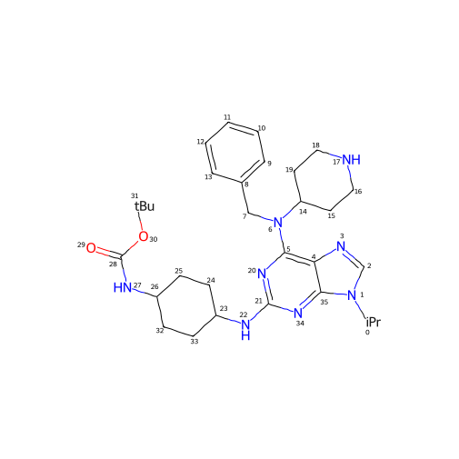 CC(C)n1cnc2c(N(Cc3ccccc3)C3CCNCC3)nc(NC3CCC(NC(=O)OC(C)(C)C)CC3)nc21